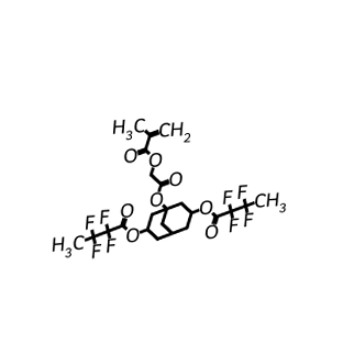 C=C(C)C(=O)OCC(=O)OC12CC(CC(OC(=O)C(F)(F)C(C)(F)F)C1)CC(OC(=O)C(F)(F)C(C)(F)F)C2